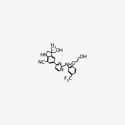 CC1(CO)CNc2c(C#N)cc(-c3ccnc(Nc4cc(C(F)(F)F)ccc4OCCO)n3)cc21